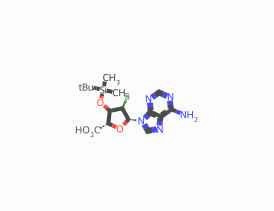 CC(C)(C)[Si](C)(C)OC1[C@@H](C(=O)O)O[C@@H](n2cnc3c(N)ncnc32)[C@@H]1F